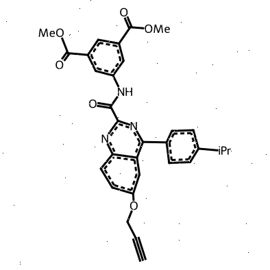 C#CCOc1ccc2nc(C(=O)Nc3cc(C(=O)OC)cc(C(=O)OC)c3)nc(-c3ccc(C(C)C)cc3)c2c1